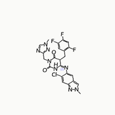 Cn1cnc(CN2C(=O)N/C(=N\c3cc4cn(C)nc4cc3Cl)C(Cc3cc(F)c(F)cc3F)C2=O)n1